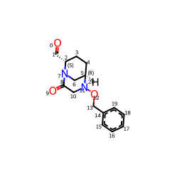 O=C[C@@H]1CC[C@@H]2CN1C(=O)CN2OCc1ccccc1